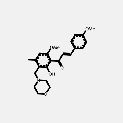 COc1ccc(/C=C/C(=O)c2c(OC)cc(C)c(CN3CCOCC3)c2O)cc1